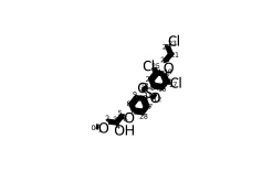 COC[C@H](O)COc1ccc(S(=O)(=O)c2cc(Cl)c(OCCCCl)c(Cl)c2)cc1